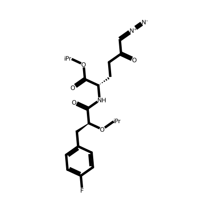 CC(C)OC(=O)[C@H](CCC(=O)C=[N+]=[N-])NC(=O)[C@H](Cc1ccc(F)cc1)OC(C)C